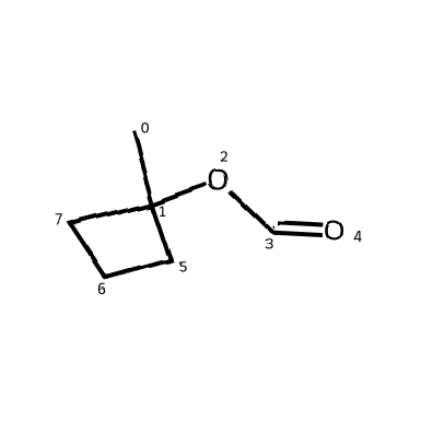 CC1(O[C]=O)CCC1